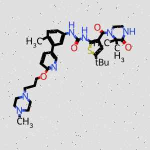 Cc1ccc(NC(=O)Nc2sc(C(C)(C)C)cc2C(=O)N2CCNC(=O)C2(C)C)cc1-c1ccc(OCCCN2CCN(C)CC2)nc1